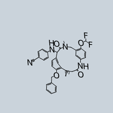 C[C@@H]1CC(=O)Nc2ccc(OC(F)F)c(c2)CN(C)C(=O)C(Nc2ccc(C#N)cc2)c2ccc(OCc3ccccc3)c1c2